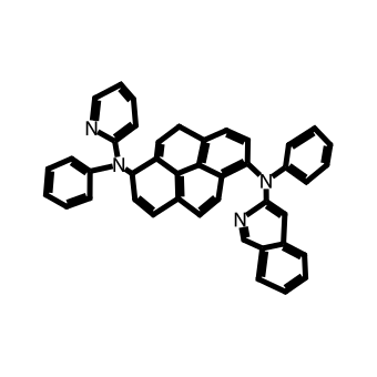 C1=CC(N(c2ccccc2)c2ccccn2)C2=CCc3ccc(N(c4ccccc4)c4cc5ccccc5cn4)c4ccc1c2c34